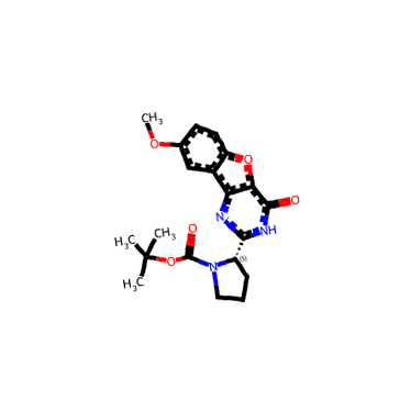 COc1ccc2oc3c(=O)[nH]c([C@@H]4CCCN4C(=O)OC(C)(C)C)nc3c2c1